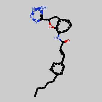 CCCCCc1ccc(/C=C/C(=O)Nc2cccc3c2OC(c2nnn[nH]2)C3)cc1